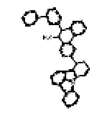 CC1c2ccc(C3CC=Cc4c3c3cccc5c6ccccc6n4c35)cc2-c2ccccc2C1c1cccc(-c2ccccc2)c1